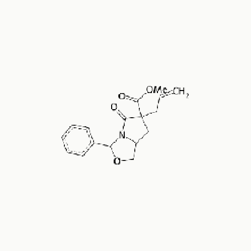 C=CCC1(C(=O)OC)CC2COC(c3ccccc3)N2C1=O